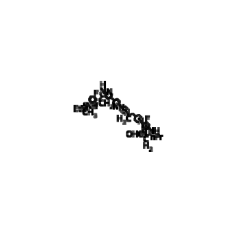 C=C(NC=O)C(CCC)Nc1ccc(N2CCC(CC(=C)N3CCN(c4ccc(-c5cnc6c(c5)C(C(=C)c5c(F)ccc(NSN(C)CC)c5F)CN6)cn4)CC3)CC2)c(F)c1